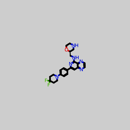 FC1(F)CCN(c2ccc(-c3cc4nccnc4c(NC[C@@H]4CNCCO4)n3)cc2)CC1